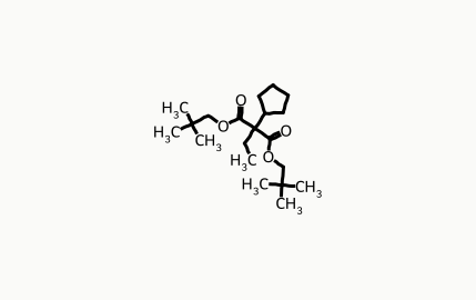 CCC(C(=O)OCC(C)(C)C)(C(=O)OCC(C)(C)C)C1CCCC1